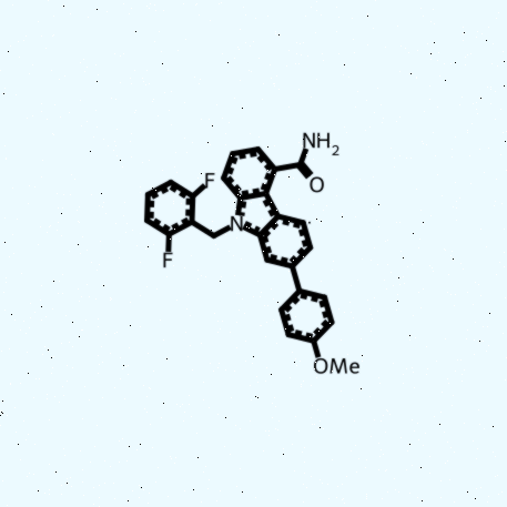 COc1ccc(-c2c[c]c3c4c(C(N)=O)cccc4n(Cc4c(F)cccc4F)c3c2)cc1